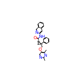 Cc1ncc(OC[C@@]2(c3ccccc3)C[C@H]2C(=O)Nc2cc3ccccc3cn2)c(C)n1